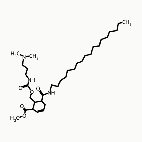 CCCCCCCCCCCCCCCCCCNC(=O)C1CC=CC(C(=O)OC)C1COC(=O)NCCCN(C)C